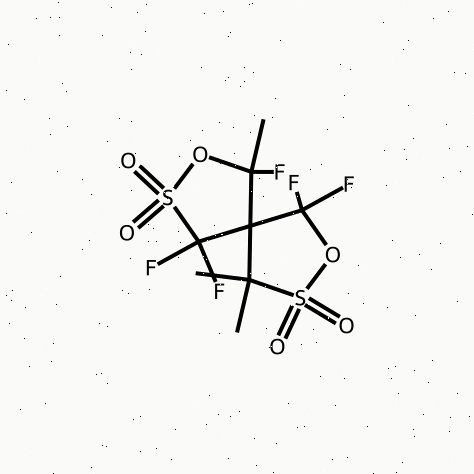 CC1(F)OS(=O)(=O)C(F)(F)C12C(F)(F)OS(=O)(=O)C2(C)C